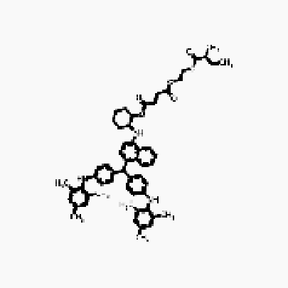 CCC(C)C(=O)OCCOC(=O)CCC(=O)OC1CCCCC1Nc1ccc(C(c2ccc(Nc3c(C)cc(C)cc3C)cc2)c2ccc(Nc3c(C)cc(C)cc3C)cc2)c2ccccc12